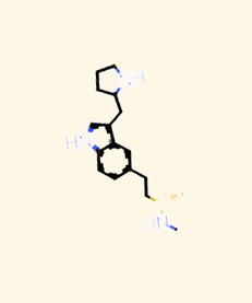 CN[S+]([O-])CCc1ccc2[nH]cc(CC3CCCN3)c2c1